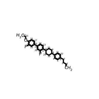 C=CCCc1ccc(C2CCC(c3ccc(-c4ccc(OCC)c(F)c4)cc3F)CC2)cc1